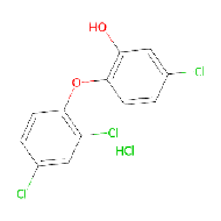 Cl.Oc1cc(Cl)ccc1Oc1ccc(Cl)cc1Cl